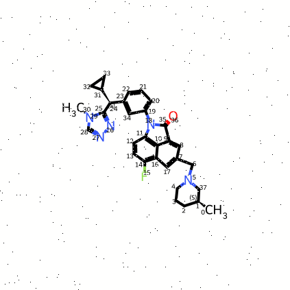 C[C@H]1CCCN(Cc2cc3c4c(ccc(F)c4c2)N(c2cccc([C@@H](c4nncn4C)C4CC4)c2)C3=O)C1